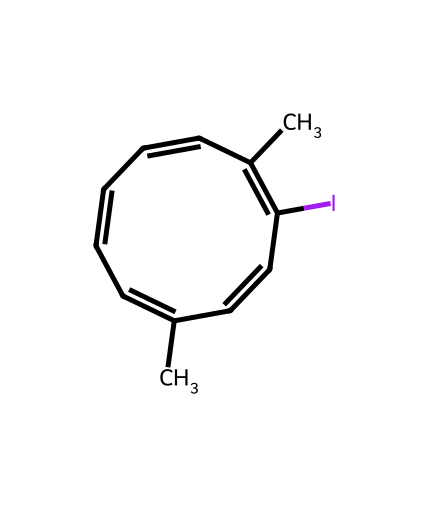 Cc1cccccc(C)c(I)cc1